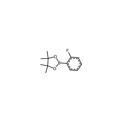 CC1(C)OB(c2ccc[c]c2F)OC1(C)C